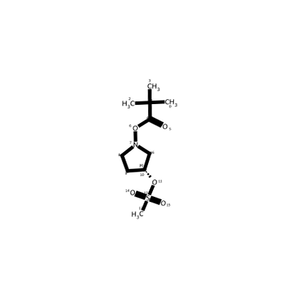 CC(C)(C)C(=O)ON1CC[C@@H](OS(C)(=O)=O)C1